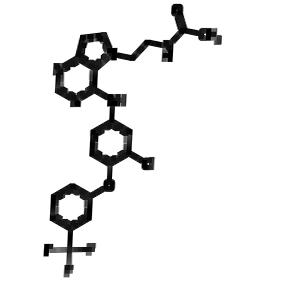 CC(=O)NCCn1ccc2ncnc(Nc3ccc(Oc4cccc(C(F)(F)F)c4)c(Cl)c3)c21